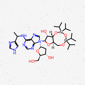 CC(Nc1ncnc2c1N=C[N+]2([C@@H]1C[C@H](O)[C@@H](CO)O1)[C@@H]1O[C@@H]2CO[Si](C(C)C)(C(C)C)O[Si](C(C)C)(C(C)C)O[C@H]2[C@H]1O)c1c[nH]cn1